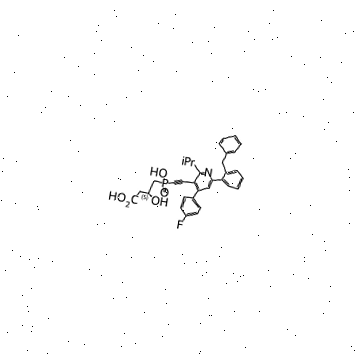 CC(C)c1nc(-c2ccccc2Cc2ccccc2)cc(-c2ccc(F)cc2)c1C#CP(=O)(O)C[C@@H](O)CC(=O)O